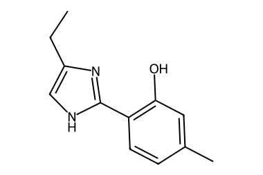 CCc1c[nH]c(-c2ccc(C)cc2O)n1